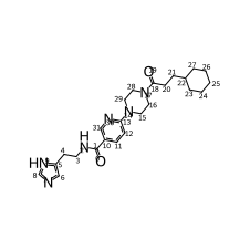 O=C(NCCc1cnc[nH]1)c1ccc(N2CCN(C(=O)CCC3CCCCC3)CC2)nc1